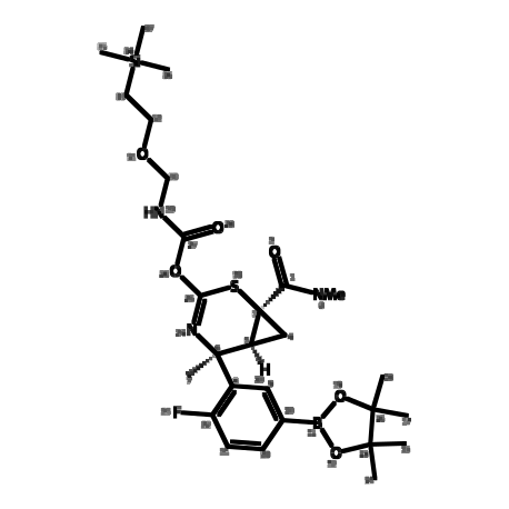 CNC(=O)[C@]12C[C@H]1[C@@](C)(c1cc(B3OC(C)(C)C(C)(C)O3)ccc1F)N=C(OC(=O)NCOCC[Si](C)(C)C)S2